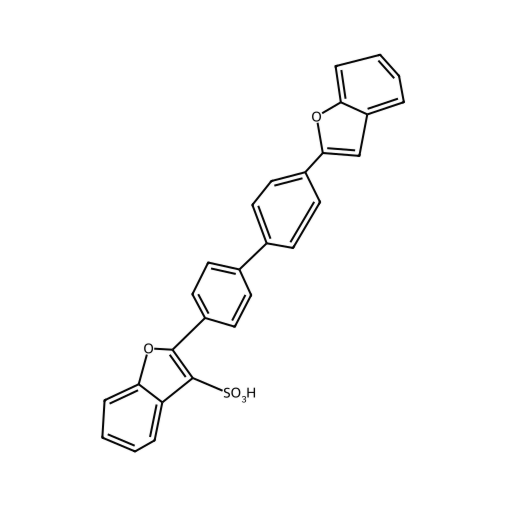 O=S(=O)(O)c1c(-c2ccc(-c3ccc(-c4cc5ccccc5o4)cc3)cc2)oc2ccccc12